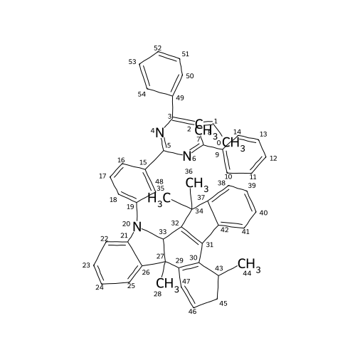 CC=C=C(/N=C(\N=C(/C)c1ccccc1)c1cccc(N2c3ccccc3C3(C)C4=C(C5=C(C23)C(C)(C)c2ccccc25)C(C)CC=C4)c1)c1ccccc1